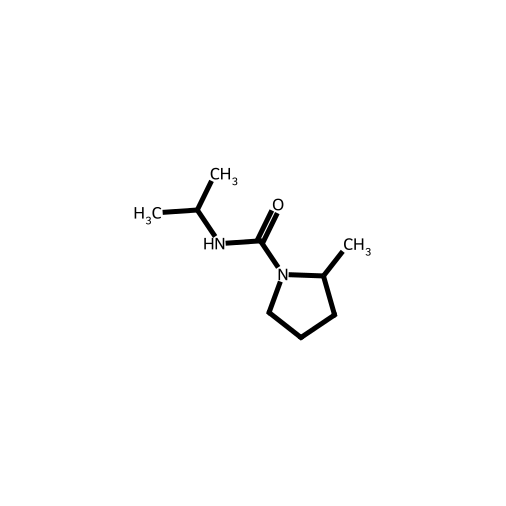 CC(C)NC(=O)N1CCCC1C